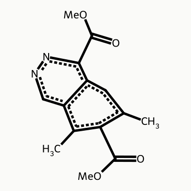 COC(=O)c1c(C)cc2c(C(=O)OC)nncc2c1C